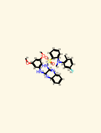 COc1cc(Nc2nc3ccccc3nc2NS(=O)(=O)c2ccccc2N(C)c2cc(F)ccc2C)cc(OC)c1